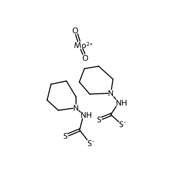 S=C([S-])NN1CCCCC1.S=C([S-])NN1CCCCC1.[O]=[Mo+2]=[O]